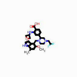 COc1cc(C)c2[nH]ccc2c1CN1CCN(CC(F)F)CC1c1ccc(C(=O)O)c(NC2COC2)c1